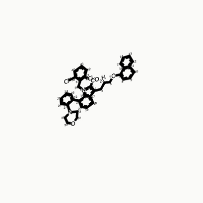 O=C(O)c1c(CCCOc2cccc3ccccc23)c2cccc(-c3ccccc3N3CCOCC3)c2n1Cc1c(Cl)cccc1Cl